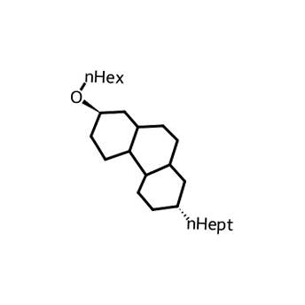 CCCCCCC[C@@H]1CCC2C(CCC3C[C@H](OCCCCCC)CCC32)C1